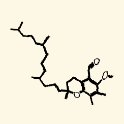 COc1c(C)c(C)c2c(c1C=O)CCC(C)(CCCC(C)CCCC(C)CCCC(C)C)O2